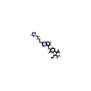 C=C/C=C(\C(C)C)C1(c2ccc(Cc3ccnc4nc(CCCCN5CCCC5)cnc34)c(F)c2)CC1